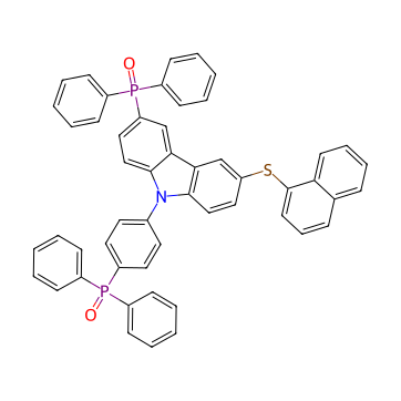 O=P(c1ccccc1)(c1ccccc1)c1ccc(-n2c3ccc(Sc4cccc5ccccc45)cc3c3cc(P(=O)(c4ccccc4)c4ccccc4)ccc32)cc1